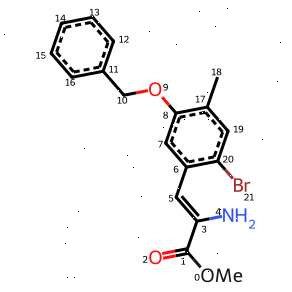 COC(=O)/C(N)=C/c1cc(OCc2ccccc2)c(C)cc1Br